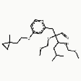 COCNC(CC(C)C)C(C=O)(Cc1cc(OCCC2(C)CC2)ccn1)OCOC